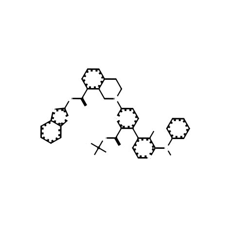 Cc1c(-c2ccc(N3CCc4cccc(C(=O)Nc5nc6ccccc6s5)c4C3)nc2C(=O)OC(C)(C)C)ccnc1N(C)c1ccccc1